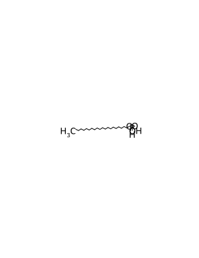 CCCCCCCCCCCCCCCCCCCCCO[PH](=O)O